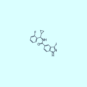 O=C(N[C@@H](c1ccccc1F)C1CC1)c1ccc2[nH]nc(I)c2c1